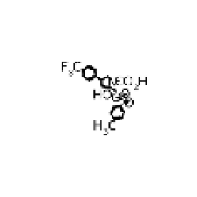 Cc1ccc(S(=O)(=O)OCC2(O)CC(c3ccc(C(F)(F)F)cc3)CN2C(=O)O)cc1